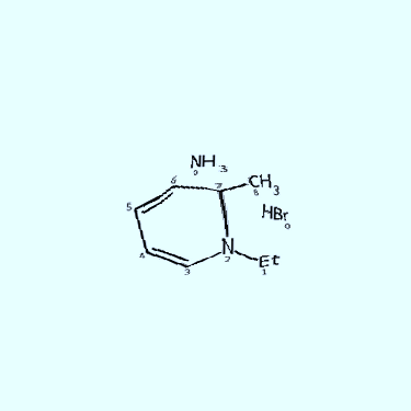 Br.CCN1C=CC=CC1C.N